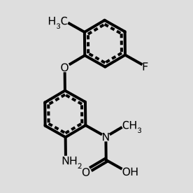 Cc1ccc(F)cc1Oc1ccc(N)c(N(C)C(=O)O)c1